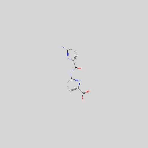 Nc1nc(C(=O)Nc2nc(C(=O)O)cs2)cs1